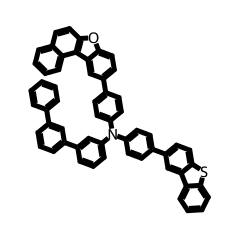 c1ccc(-c2cccc(-c3cccc(N(c4ccc(-c5ccc6sc7ccccc7c6c5)cc4)c4ccc(-c5ccc6oc7ccc8ccccc8c7c6c5)cc4)c3)c2)cc1